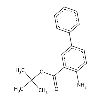 CC(C)(C)OC(=O)c1cc(-c2ccccc2)ccc1N